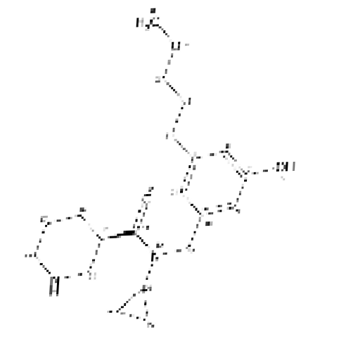 COCCCc1cc(O)cc(CN(C(=O)[C@@H]2CCCNC2)C2CC2)c1